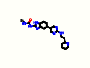 CCNC(=O)Nc1nc2cc(-c3cnc(NCCc4ccccn4)nc3)ccc2[nH]1